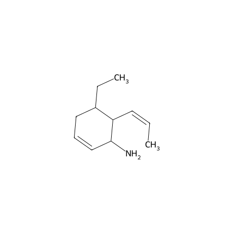 C/C=C\C1C(N)C=CCC1CC